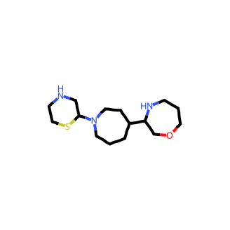 C1CNC(C2CCCN(C3CNCCS3)CC2)COC1